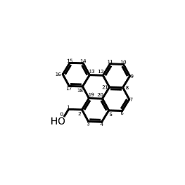 OCc1ccc2ccc3cccc4c5ccccc5c1c2c34